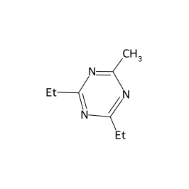 CCc1nc(C)nc(CC)n1